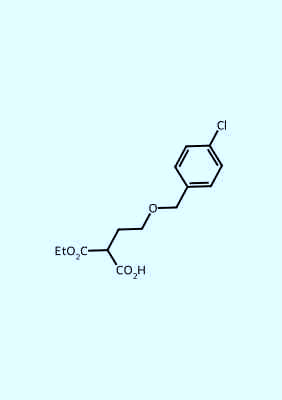 CCOC(=O)C(CCOCc1ccc(Cl)cc1)C(=O)O